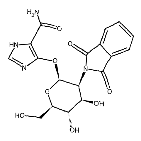 NC(=O)c1[nH]cnc1O[C@@H]1O[C@H](CO)[C@@H](O)[C@H](O)[C@@H]1N1C(=O)c2ccccc2C1=O